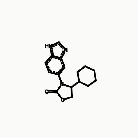 O=C1OCC(C2CCCCC2)N1c1ccc2[nH]cnc2c1